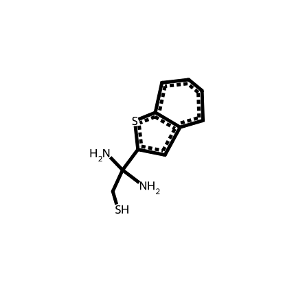 NC(N)(CS)c1cc2ccccc2s1